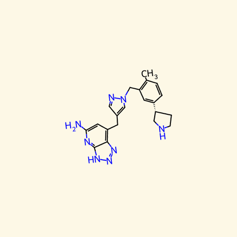 Cc1ccc([C@@H]2CCNC2)cc1Cn1cc(Cc2cc(N)nc3[nH]nnc23)cn1